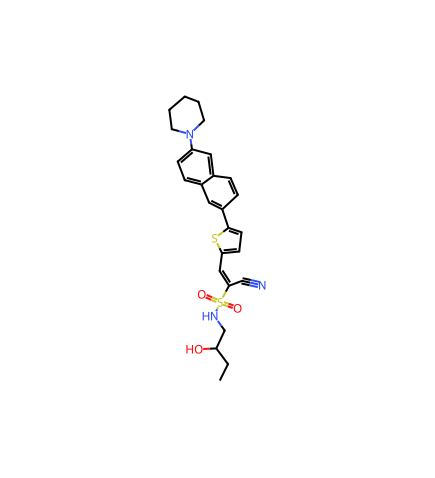 CCC(O)CNS(=O)(=O)/C(C#N)=C/c1ccc(-c2ccc3cc(N4CCCCC4)ccc3c2)s1